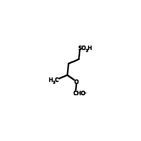 CC(CCS(=O)(=O)O)O[C]=O